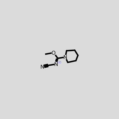 CO/C(=N\C#N)N1CCCCC1